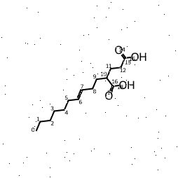 CCCCCCC=CCCC(CCC(=O)O)C(=O)O